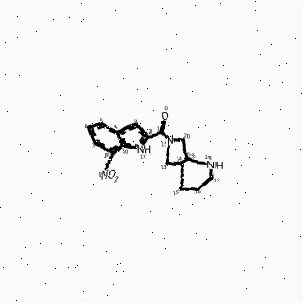 O=C(c1cc2cccc([N+](=O)[O-])c2[nH]1)N1CC2CCCNC2C1